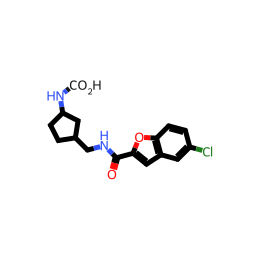 O=C(O)NC1CCC(CNC(=O)c2cc3cc(Cl)ccc3o2)C1